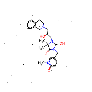 Cn1cc(CN2C(=O)C(C)(C)N(CC(O)CN3CCc4ccccc4C3)C2O)ccc1=O